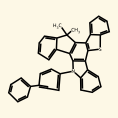 CC1(C)c2ccccc2-c2c1c1c3ccccc3sc1c1c3ccccc3n(-c3ccc(-c4ccccc4)cc3)c21